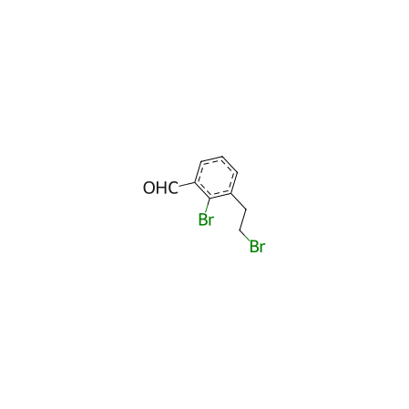 O=Cc1cccc(CCBr)c1Br